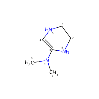 CN(C)C1=CNCCN1